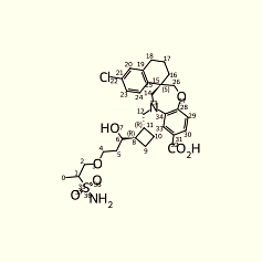 CC(COCCC(O)[C@@H]1CC[C@H]1CN1C[C@@]2(CCCc3cc(Cl)ccc32)COc2ccc(C(=O)O)cc21)S(N)(=O)=O